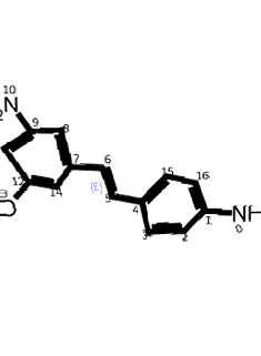 Nc1ccc(/C=C/c2cc(N)cc(O)c2)cc1